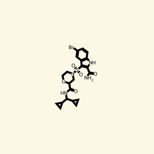 NC(=O)c1[nH]c2ccc(Br)cc2c1S(=O)(=O)N1CCOC(C(=O)NC(C2CC2)C2CC2)C1